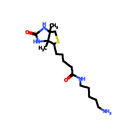 CC12CSC(CCCCC(=O)NCCCCCN)C1(C)NC(=O)N2